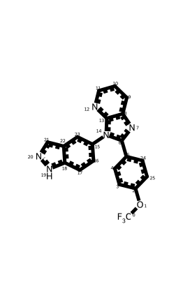 FC(F)(F)Oc1ccc(-c2nc3cccnc3n2-c2ccc3[nH]ncc3c2)cc1